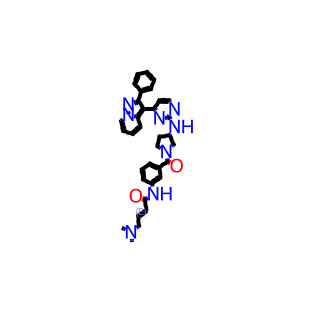 CN(C)C/C=C/C(=O)Nc1cccc(C(=O)N2CCC(Nc3nccc(-c4c(-c5ccccc5)nn5ccccc45)n3)C2)c1